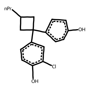 CCCC1CC(c2ccc(O)cc2)(c2ccc(O)c(Cl)c2)C1